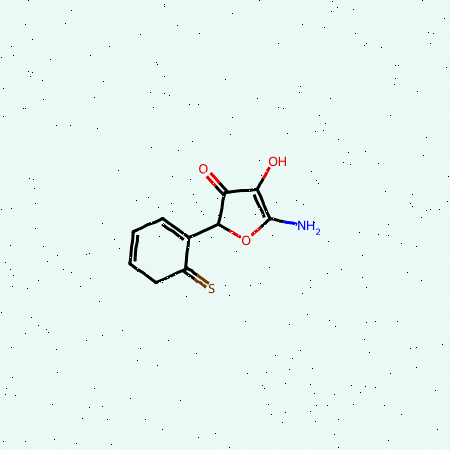 NC1=C(O)C(=O)C(C2=CC=CCC2=S)O1